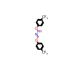 FC(F)(F)c1ccc(OP=NPOc2ccc(C(F)(F)F)cc2)cc1